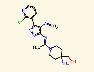 C=Nc1c(-c2cccnc2Cl)n[nH]c1/N=C(\C)N1CCC(N)(CO)CC1